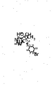 CC(C)(CSc1ccc(Br)cc1)C(C)(O)c1cncnc1